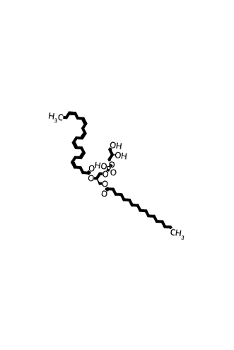 CC/C=C\C/C=C\C/C=C\C/C=C\C/C=C\C/C=C\CCC(=O)O[C@H](COC(=O)CCCCCCCCCCCCCCCC)COP(=O)(O)OC[C@@H](O)CO